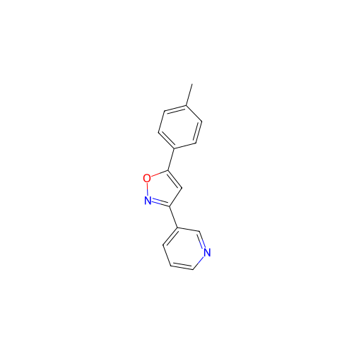 Cc1ccc(-c2cc(-c3cccnc3)no2)cc1